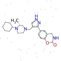 C[C@@H]1CN(Cc2c[nH]nc2-c2ccc3c(c2)CNC(=O)O3)CCN1C1CCCCC1